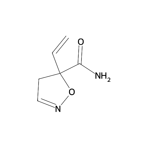 C=CC1(C(N)=O)CC=NO1